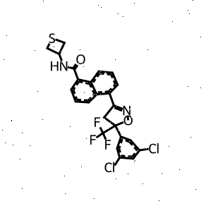 O=C(NC1CSC1)c1cccc2c(C3=NOC(c4cc(Cl)cc(Cl)c4)(C(F)(F)F)C3)cccc12